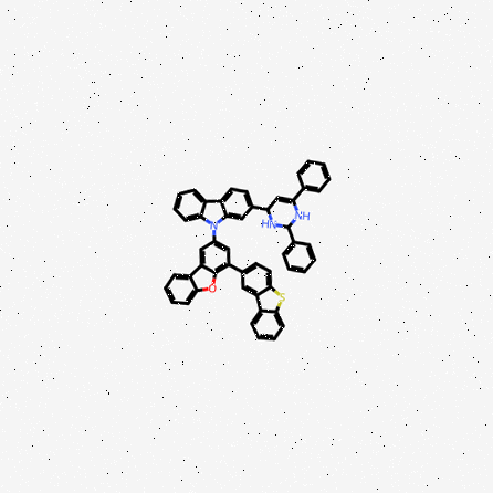 C1=C(c2ccccc2)NC(c2ccccc2)NC1c1ccc2c3ccccc3n(-c3cc(-c4ccc5sc6ccccc6c5c4)c4oc5ccccc5c4c3)c2c1